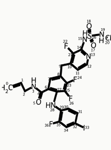 C=CCNC(=O)c1cc(Cc2ccnc(NS(=O)(=O)NC)c2F)c(F)c(F)c1Nc1ccc(I)cc1F